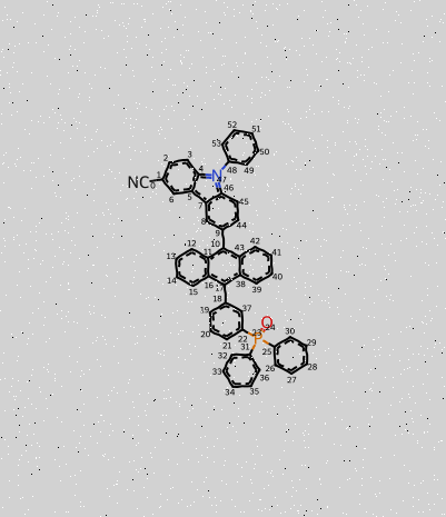 N#Cc1ccc2c(c1)c1cc(-c3c4ccccc4c(-c4cccc(P(=O)(c5ccccc5)c5ccccc5)c4)c4ccccc34)ccc1n2-c1ccccc1